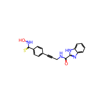 O=C(NCC#Cc1ccc(C(=S)NO)cc1)c1nc2ccccc2[nH]1